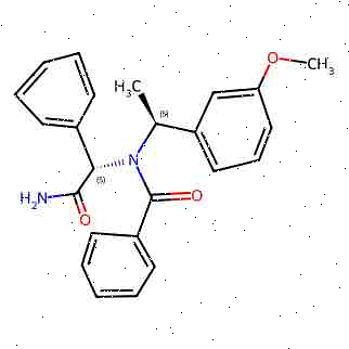 COc1cccc([C@H](C)N(C(=O)c2ccccc2)[C@H](C(N)=O)c2ccccc2)c1